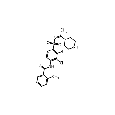 C/C(=N/S(=O)(=O)c1ccc(NC(=O)c2ccccc2C)c(Cl)c1F)C1CCNCC1